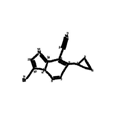 N#Cc1c(C2CC2)ccn2c(Br)cnc12